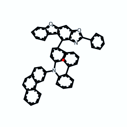 c1ccc(-c2nc3c(-c4ccc(N(c5ccc6ccc7ccccc7c6c5)c5ccccc5-c5ccccc5)cc4)c4c(cc3o2)oc2ccccc24)cc1